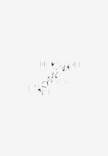 Cl.N=C(N)c1ccc(N2CCN(C3CCN(CC(=O)O)CC3CC(=O)O)CC2)cc1